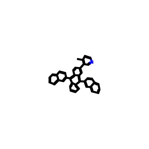 Cc1ccncc1-c1ccc2c(-c3ccc4ccccc4c3)c3ccccc3c(-c3ccc4ccccc4c3)c2c1